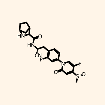 C[S+]([O-])c1cc(=O)n(-c2ccc(C[C@@H](C#N)NC(=O)C3NC4CCC3C4)c(F)c2)cc1F